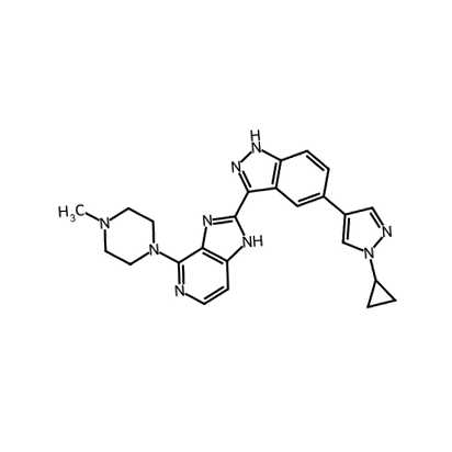 CN1CCN(c2nccc3[nH]c(-c4n[nH]c5ccc(-c6cnn(C7CC7)c6)cc45)nc23)CC1